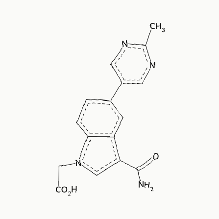 Cc1ncc(-c2ccc3c(c2)c(C(N)=O)cn3CC(=O)O)cn1